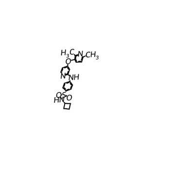 Cc1ccc(Oc2ccnc(Nc3ccc(S(=O)(=O)NC4CCC4)cc3)c2)c(C)n1